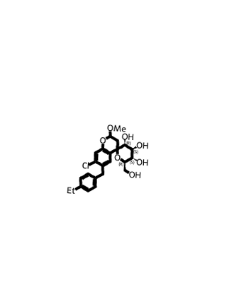 CCc1ccc(Cc2cc3c(cc2Cl)OC(OC)CC32O[C@H](CO)[C@@H](O)[C@H](O)[C@H]2O)cc1